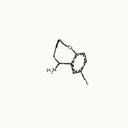 NC1CCOc2ccc(I)cc21